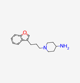 NC1CCN(CCCc2coc3ccccc23)CC1